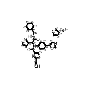 C#Cc1nc(C(=O)N(c2ccc(-c3cnco3)cc2)C(C(=O)NCc2ccccc2)c2cc[cH-]c2)cs1.[Fe+2].c1cc[cH-]c1